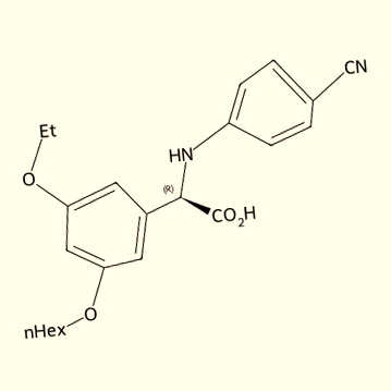 CCCCCCOc1cc(OCC)cc([C@@H](Nc2ccc(C#N)cc2)C(=O)O)c1